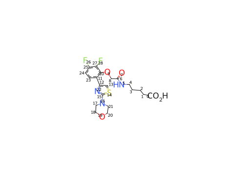 O=C(O)CCCCNC(=O)COc1c(-c2csc(N3CCOCC3)n2)ccc(F)c1F